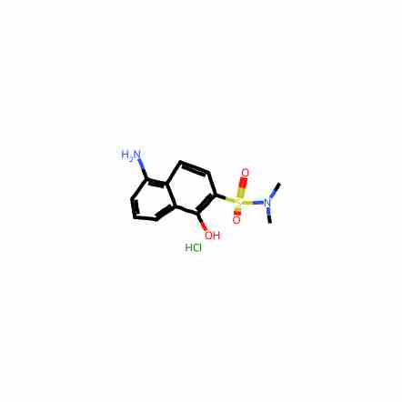 CN(C)S(=O)(=O)c1ccc2c(N)cccc2c1O.Cl